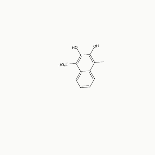 Cc1c(O)c(O)c(C(=O)O)c2ccccc12